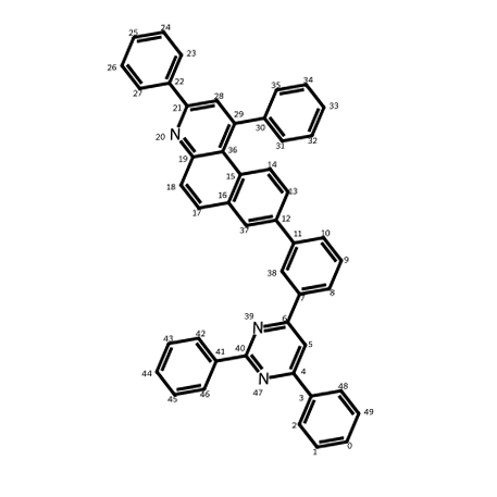 c1ccc(-c2cc(-c3cccc(-c4ccc5c(ccc6nc(-c7ccccc7)cc(-c7ccccc7)c65)c4)c3)nc(-c3ccccc3)n2)cc1